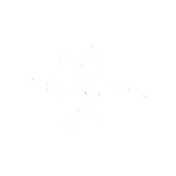 Cc1cccc(N(c2ccc(C)c(C)c2)c2cc3c(-c4ccc(C#N)cc4)cc(N(c4cccc(C)c4)c4ccc(C)c(C)c4)c4ccc5c(-c6ccc(C#N)cc6)ccc2c5c34)c1